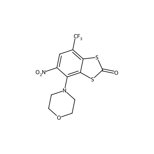 O=c1sc2c(C(F)(F)F)cc([N+](=O)[O-])c(N3CCOCC3)c2s1